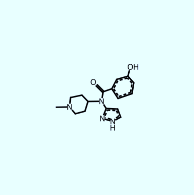 CN1CCC(N(C(=O)c2cccc(O)c2)c2cc[nH]n2)CC1